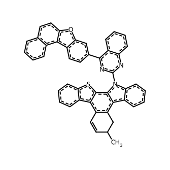 CC1C=Cc2c(c3c4ccccc4n(-c4nc(-c5ccc6c(c5)oc5ccc7ccccc7c56)c5ccccc5n4)c3c3sc4ccccc4c23)C1